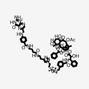 CC(=O)O[C@@H]1C(=O)[C@@]2(C)[C@H](O)C[C@@H]3OC[C@]3(OC(C)=O)[C@@H]2[C@@H](OC(=O)c2ccccc2)[C@@]2(O)C[C@@H](OC(=O)[C@@H](O)[C@H](NC(=O)c3cccc(C[Si](C)(C)O[Si](C)(C)CCn4cc(CCNC(=O)CCCNC(=O)c5ccc(NCc6cnc7nc(N)[nH]c(=O)c7n6)cc5)nn4)c3)c3ccccc3)C(C)=C1C2(C)C